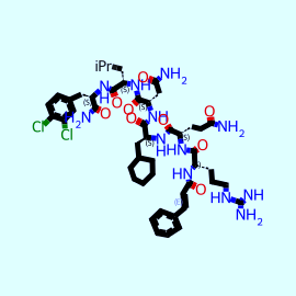 CC(C)C[C@H](NC(=O)[C@H](CC(N)=O)NC(=O)[C@H](CC1CCCCC1)NC(=O)[C@H](CCC(N)=O)NC(=O)[C@H](CCCNC(=N)N)NC(=O)/C=C/c1ccccc1)C(=O)N[C@@H](Cc1ccc(Cl)c(Cl)c1)C(N)=O